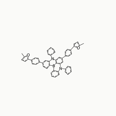 Cc1ccc(-c2ccc(-c3ccc4c(c3)N(c3ccccc3)c3cc(-c5ccc(-c6ccc(C)o6)cc5)cc5c3B4c3ccccc3N5c3ccccc3)cc2)o1